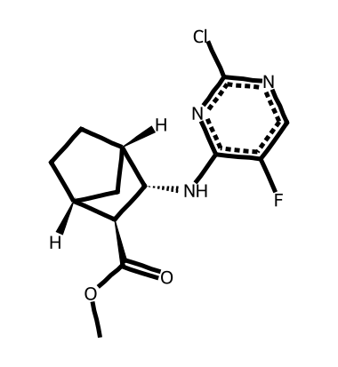 COC(=O)[C@H]1[C@@H]2CC[C@@H](C2)[C@@H]1Nc1nc(Cl)ncc1F